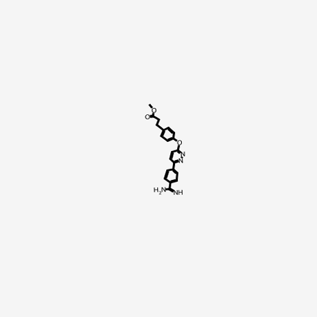 COC(=O)CCc1ccc(Oc2ccc(-c3ccc(C(=N)N)cc3)nn2)cc1